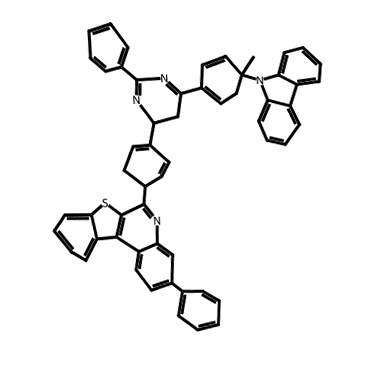 CC1(n2c3ccccc3c3ccccc32)C=CC(C2=NC(c3ccccc3)=NC(C3=CCC(c4nc5cc(-c6ccccc6)ccc5c5c4sc4ccccc45)C=C3)C2)=CC1